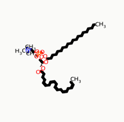 CC/C=C\C/C=C\C/C=C\C/C=C\C/C=C\CCCC(=O)OC[C@H](COP(=O)([O-])OCC[N+](C)(C)C)OC(=O)CCCCCCCCCCCCCCCCCCC